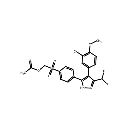 COc1ccc(-c2c(C(F)F)n[nH]c2-c2ccc(S(=O)(=O)COC(C)=O)cc2)cc1Cl